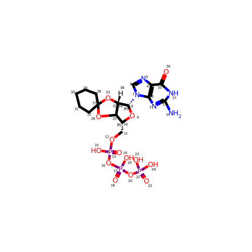 Nc1nc2c(ncn2[C@@H]2O[C@H](COP(=O)(O)OP(=O)(O)OP(=O)(O)O)C3OC4(CCCCC4)O[C@@H]32)c(=O)[nH]1